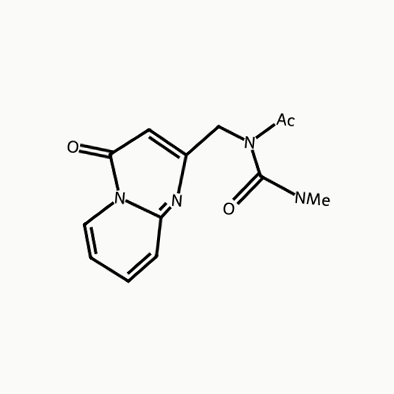 CNC(=O)N(Cc1cc(=O)n2ccccc2n1)C(C)=O